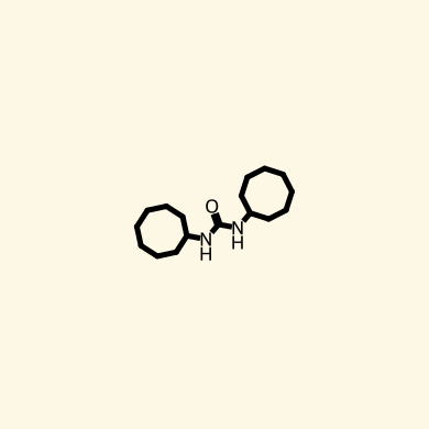 O=C(NC1CCCCCCC1)NC1CCCCCCC1